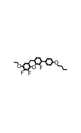 CCCCOc1ccc(-c2ccc3c(c2F)Oc2c(cc(OCC)c(F)c2F)C3)cc1